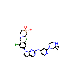 OS1(O)CCN(Cc2c(F)cc(-n3ccc4cnc(Nc5ccnc(N6CCNC7(CC7)C6)c5)nc43)cc2F)CC1